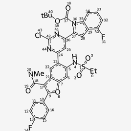 CCS(=O)(=O)Nc1cc2oc(-c3ccc(F)cc3)c(C(=O)NC)c2cc1-c1cc(-c2cc3c(F)cccc3n2C(=O)OC(C)(C)C)nc(Cl)n1